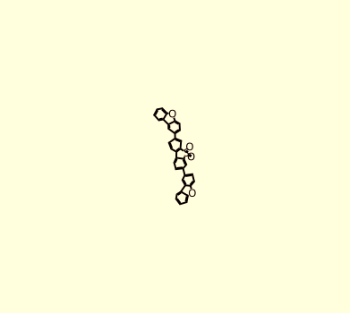 O=S1(=O)c2cc(-c3ccc4oc5ccccc5c4c3)ccc2-c2ccc(-c3ccc4oc5ccccc5c4c3)cc21